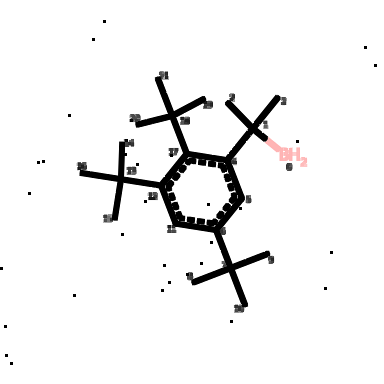 BC(C)(C)c1cc(C(C)(C)C)cc(C(C)(C)C)c1C(C)(C)C